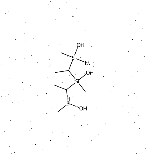 CC[Si](C)(O)C(C)[Si](C)(O)C(C)[SiH](C)O